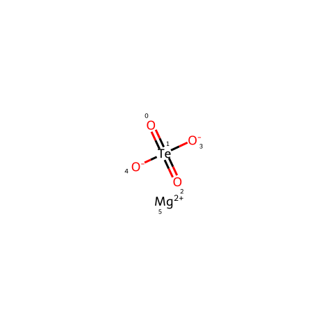 O=[Te](=O)([O-])[O-].[Mg+2]